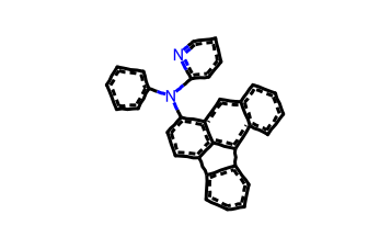 c1ccc(N(c2ccccn2)c2ccc3c4c(c5ccccc5cc24)-c2ccccc2-3)cc1